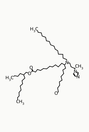 CCCCCCCCCCCCCCCN(CCC(C)n1ccnc1)C(CCCCCCCCC=O)CCCCCCCCCCC(=O)OCC(CCCC)CCCCCCCCC